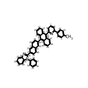 Cc1ccc(-c2cccc(-c3c4ccccc4c(-c4ccc5cc(-c6nc7ccccc7n6-c6ccccc6)ccc5c4)c4ccccc34)n2)cc1